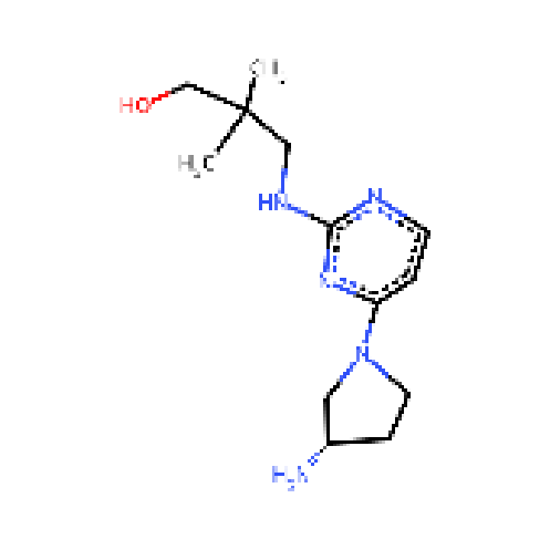 CC(C)(CO)CNc1nccc(N2CC[C@H](N)C2)n1